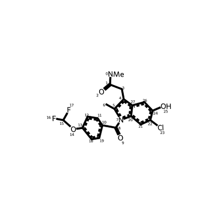 CNC(=O)Cc1c(C)n(C(=O)c2ccc(OC(F)F)cc2)c2cc(Cl)c(O)cc12